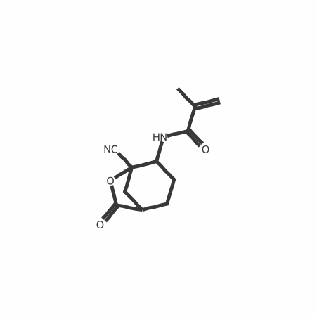 C=C(C)C(=O)NC1CCC2CC1(C#N)OC2=O